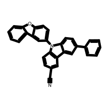 N#Cc1ccc2c(c1)c1cc(-c3ccccc3)ccc1n2-c1ccc2oc3ccccc3c2c1